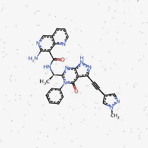 C[C@@H](NC(=O)c1c(N)ncc2cccnc12)c1nc2[nH]nc(C#Cc3cnn(C)c3)c2c(=O)n1-c1ccccc1